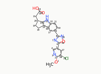 COc1ncc(-c2nc(-c3ccc4[nH]c5c(c4c3)CCC5CC(=O)O)no2)cc1Cl